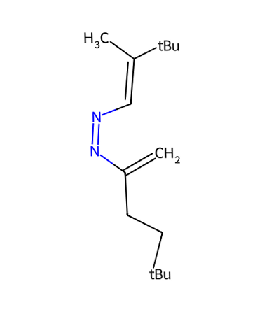 C=C(CCC(C)(C)C)/N=N\C=C(/C)C(C)(C)C